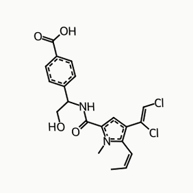 C/C=C\c1c(/C(Cl)=C/Cl)cc(C(=O)NC(CO)c2ccc(C(=O)O)cc2)n1C